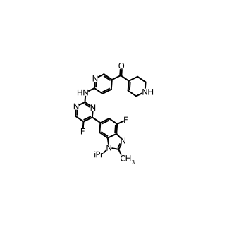 Cc1nc2c(F)cc(-c3nc(Nc4ccc(C(=O)C5=CCNCC5)cn4)ncc3F)cc2n1C(C)C